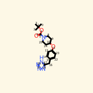 CC(C)(C)OC(=O)N1CCC(Oc2ccc(Cc3nnn[nH]3)cc2)CC1